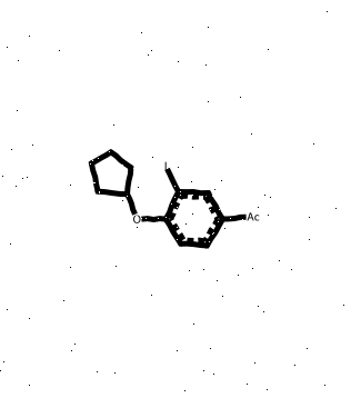 CC(=O)c1ccc(OC2CCCC2)c(I)c1